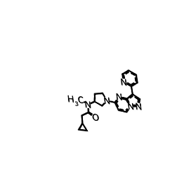 CN(C(=O)CC1CC1)C1CCN(c2ccn3ncc(-c4ccccn4)c3n2)C1